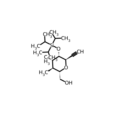 C#C[C@H]1O[C@H](CO)[C@@H](C)[C@H](C)[C@@H]1O[Si](C(C)C)(C(C)C)C(C)C